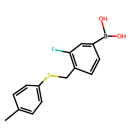 Cc1ccc(SCc2ccc(B(O)O)cc2F)cc1